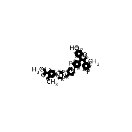 CCC(=O)c1ccc(N2CCN(CC3CCN(c4ccc(C5c6ccc(O)cc6OCC5c5ccc(F)cc5C)cc4F)CC3)CC2)cc1CC